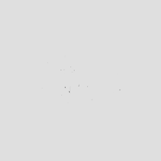 C[C@H]1N(C)[C@@H](c2ccccc2)SC1(C)C